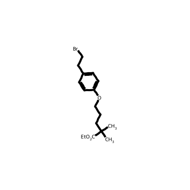 CCOC(=O)C(C)(C)CCCOc1ccc(CCBr)cc1